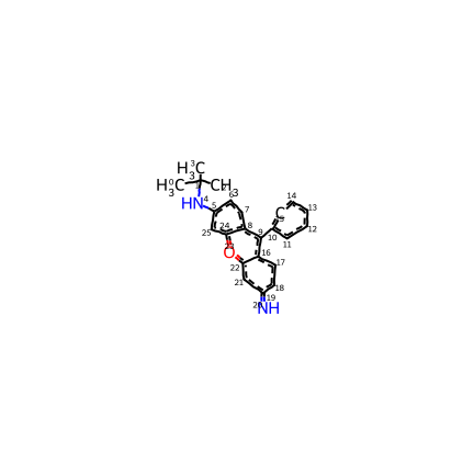 CC(C)(C)Nc1ccc2c(-c3ccccc3)c3ccc(=N)cc-3oc2c1